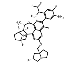 C[C@H](c1cc(F)c(N)cc1-c1nc2c3c(nc(OC[C@@]45CCCN4C[C@H](F)C5)nc3c1F)N1C[C@H]3CC[C@H](N3)[C@H]1[C@H](C)O2)C(F)F